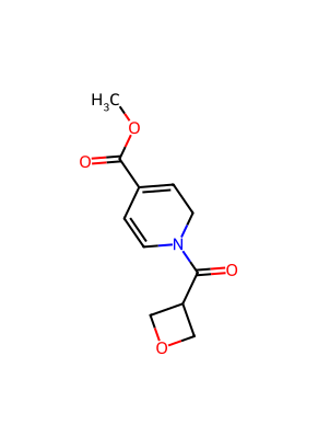 COC(=O)C1=CCN(C(=O)C2COC2)C=C1